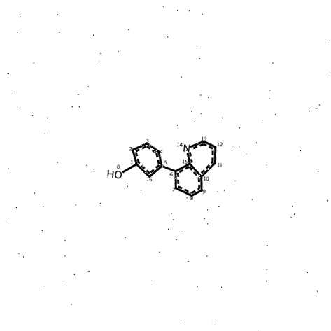 Oc1cccc(-c2cccc3cccnc23)c1